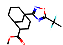 COC(=O)C1CCC2(c3noc(C(C)(F)F)n3)CCCC1C2